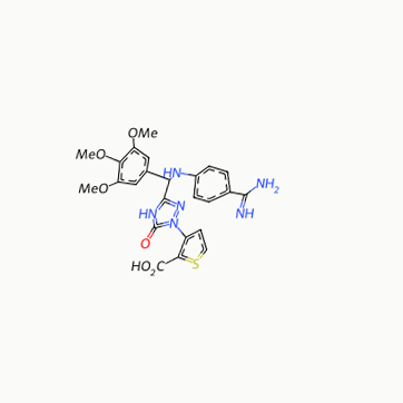 COc1cc(C(Nc2ccc(C(=N)N)cc2)c2nn(-c3ccsc3C(=O)O)c(=O)[nH]2)cc(OC)c1OC